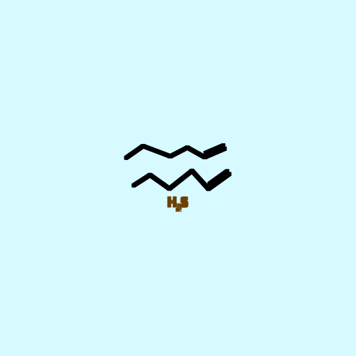 C=CCCCC.C=CCCCC.S